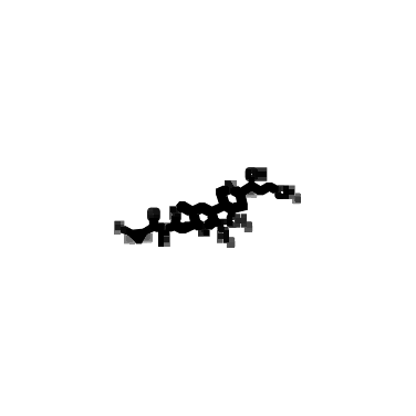 CCC[C@@H](O)c1cc(C)c(-c2cc3cnc(NC(=O)[C@H]4C[C@H]4F)cc3nc2C)cn1